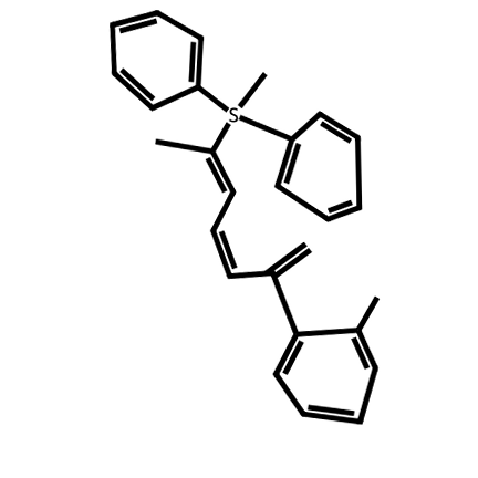 C=C(/C=C\C=C(/C)S(C)(c1ccccc1)c1ccccc1)c1ccccc1C